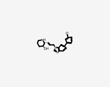 O[C@H]1CCCN[C@@H]1/C=C/Cn1cnc2ccc(-c3cccc(Cl)c3)cc21